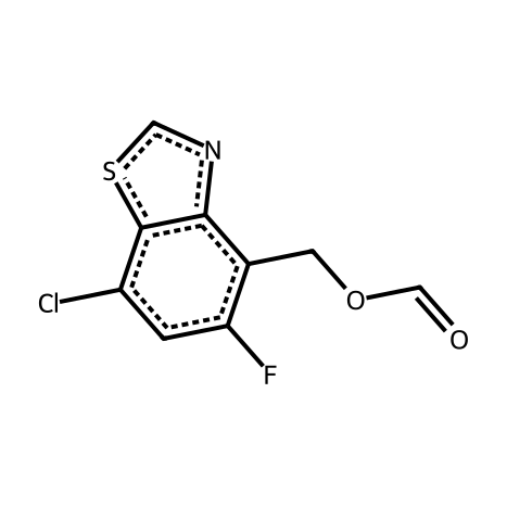 O=COCc1c(F)cc(Cl)c2scnc12